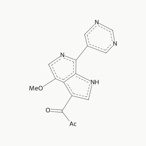 COc1cnc(-c2cncnc2)c2[nH]cc(C(=O)C(C)=O)c12